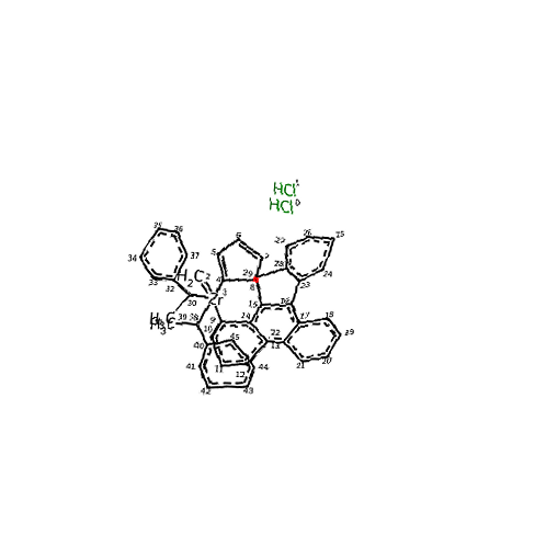 Cl.Cl.[CH2]=[Zr]([C]1=CC=CC1)([c]1cccc2c1c1c(c3ccccc32)-c2ccccc2C1)([CH](C)c1ccccc1)[CH](C)c1ccccc1